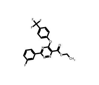 CCOC(=O)c1nnc(-c2cccc(F)c2)nc1Oc1ccc(C(F)(F)F)cc1